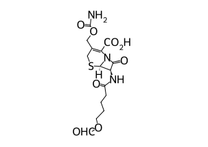 NC(=O)OCC1=C(C(=O)O)N2C(=O)[C@@H](NC(=O)CCCCOC=O)[C@H]2SC1